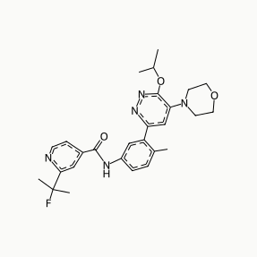 Cc1ccc(NC(=O)c2ccnc(C(C)(C)F)c2)cc1-c1cc(N2CCOCC2)c(OC(C)C)nn1